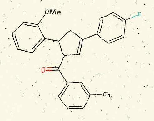 COc1ccccc1C1CC(c2ccc(F)cc2)=CC1C(=O)c1cccc(C)c1